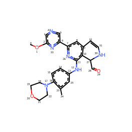 COc1cncc(-c2cc3c(c(Nc4ccc(N5CCOCC5)c(C)c4)n2)C(C=O)NC=C3)n1